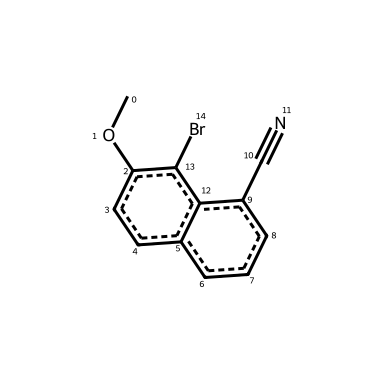 COc1ccc2cccc(C#N)c2c1Br